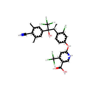 Cc1cc([C@@](O)([C@@H](C)c2ccc(Oc3cc(C(F)(F)F)c(C(=O)O)cn3)cc2Cl)C(F)(F)F)cc(C)c1C#N